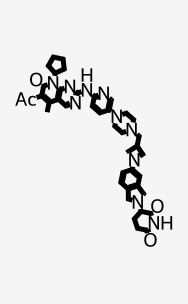 CC(=O)c1c(C)c2cnc(Nc3ccc(N4CCN(CC5CN(c6ccc7c(c6)CN(C6CCC(=O)NC6=O)C7)C5)CC4)cn3)nc2n(C2CCCC2)c1=O